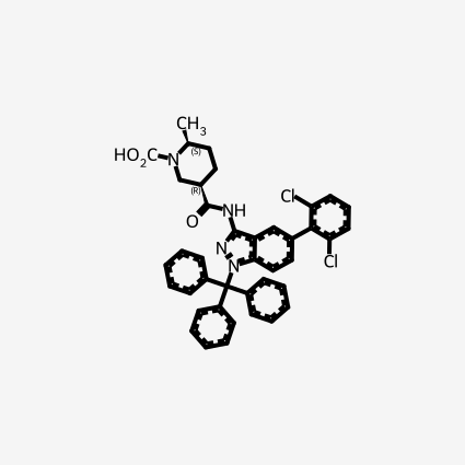 C[C@H]1CC[C@@H](C(=O)Nc2nn(C(c3ccccc3)(c3ccccc3)c3ccccc3)c3ccc(-c4c(Cl)cccc4Cl)cc23)CN1C(=O)O